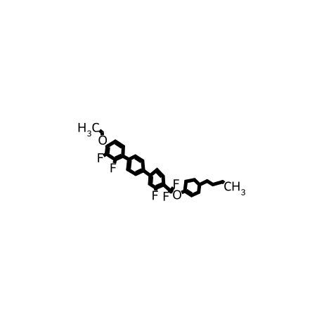 CCCCC1CC=C(OC(F)(F)c2ccc(-c3ccc(-c4ccc(OCC)c(F)c4F)cc3)cc2F)CC1